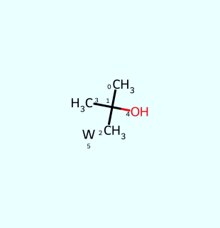 CC(C)(C)O.[W]